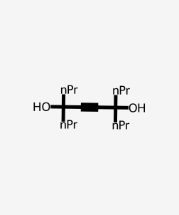 CCCC(O)(C#CC(O)(CCC)CCC)CCC